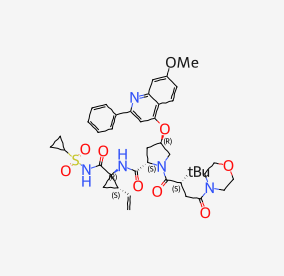 C=C[C@@H]1C[C@]1(NC(=O)[C@@H]1C[C@@H](Oc2cc(-c3ccccc3)nc3cc(OC)ccc23)CN1C(=O)[C@@H](CC(=O)N1CCOCC1)C(C)(C)C)C(=O)NS(=O)(=O)C1CC1